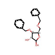 OC1O[C@H](COCc2ccccc2)[C@H](OCc2ccccc2)[C@H]1O